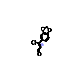 O=C/C=C(\Cl)c1ccc2c(c1)OCO2